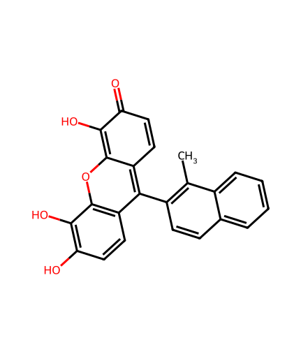 Cc1c(-c2c3ccc(=O)c(O)c-3oc3c(O)c(O)ccc23)ccc2ccccc12